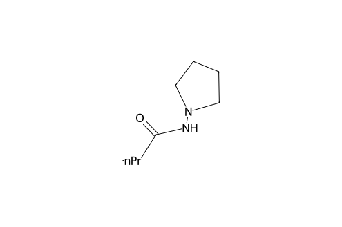 CC[CH]C(=O)NN1CCCC1